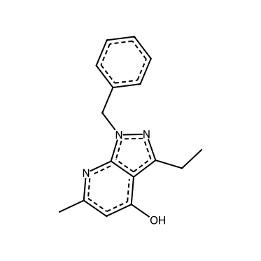 CCc1nn(Cc2ccccc2)c2nc(C)cc(O)c12